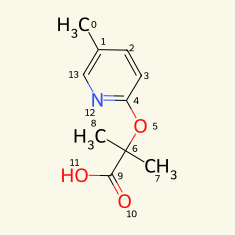 Cc1ccc(OC(C)(C)C(=O)O)nc1